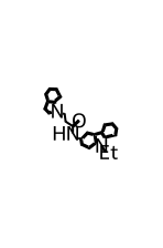 CCn1c2ccccc2c2cc(NC(=O)CCn3ccc4ccccc43)ccc21